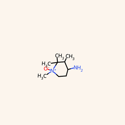 CC1C(N)CC[N+](C)([O-])C1(C)C